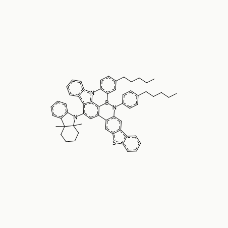 CCCCCc1ccc(N2B3c4cc(CCCCC)ccc4-n4c5ccccc5c5c(N6c7ccccc7C7(C)CCCCC67C)cc(c3c54)-c3cc4sc5ccccc5c4cc32)cc1